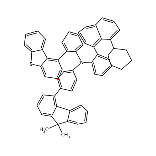 CC1(C)c2ccccc2-c2c(-c3ccc(N(c4ccccc4-c4cccc5cccc(C6CCCCC6)c45)c4ccccc4-c4cccc5sc6ccccc6c45)cc3)cccc21